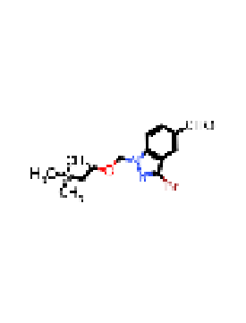 C[Si](C)(C)CCOCn1nc(Br)c2cc(C=O)ccc21